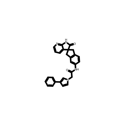 O=C(Cn1ccc(-c2ccccc2)c1)Nc1ccc2c(c1)CC1(C2)C(=O)Nc2ncccc21